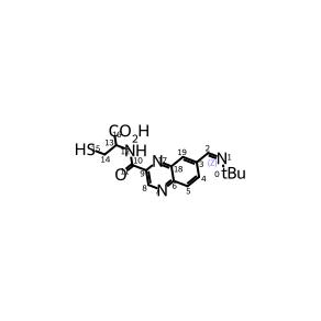 CC(C)(C)/N=C\c1ccc2ncc(C(=O)NC(CS)C(=O)O)nc2c1